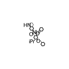 CC(C)c1cc(C(=O)Nc2ccc3c(c2)CCCN3)c(OCc2ccccc2)cc1OCc1ccccc1